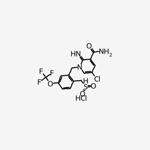 Cl.N=c1c(C(N)=O)cc(Cl)cn1Cc1cc(OC(F)(F)F)ccc1C[SH](=O)=O